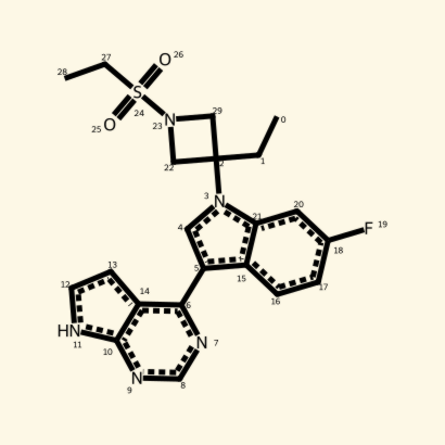 CCC1(n2cc(-c3ncnc4[nH]ccc34)c3ccc(F)cc32)CN(S(=O)(=O)CC)C1